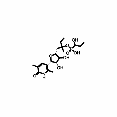 CCC(O)P(=O)(O)OC(C)(CC)C[C@H]1O[C@@H](c2cc(C)c(=O)[nH]c2C)[C@@H](O)C1O